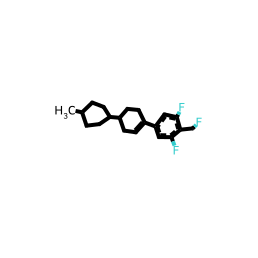 CC1CCC(C2CC=C(c3cc(F)c(CF)c(F)c3)CC2)CC1